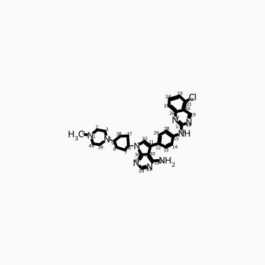 CN1CCN([C@H]2CC[C@@H](n3cc(-c4ccc(Nc5ncc6c(Cl)cccc6n5)cc4)c4c(N)ncnc43)CC2)CC1